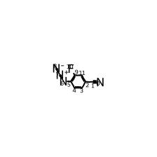 N#Cc1ccc(N=[N+]=[N-])c(F)c1